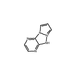 c1cn2c3nccnc3[nH][n+]2c1